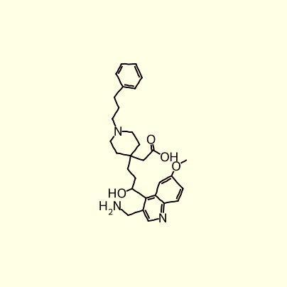 COc1ccc2ncc(CN)c(C(O)CCC3(CC(=O)O)CCN(CCCc4ccccc4)CC3)c2c1